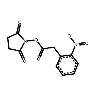 O=C(Cc1ccccc1[N+](=O)[O-])ON1C(=O)CCC1=O